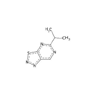 CC(C)c1ncc2nnsc2n1